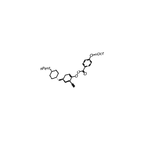 C#CC1=CC(=C[C@H]2CC[C@H](CCCCC)CC2)CC=C1OOC(=O)c1ccc(OCCCCCCCC)cc1